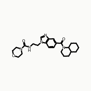 O=C(NCCn1cnc2cc(C(=O)N3CCCC4CCCCC43)ccc21)N1CCOCC1